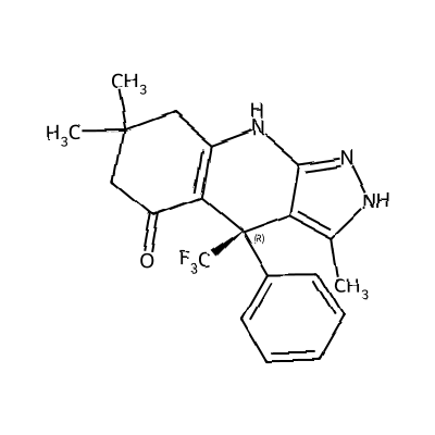 Cc1[nH]nc2c1[C@@](c1ccccc1)(C(F)(F)F)C1=C(CC(C)(C)CC1=O)N2